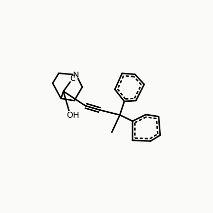 CC(C#CC1(O)CN2CCC1CC2)(c1ccccc1)c1ccccc1